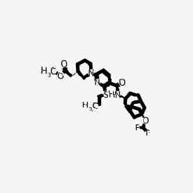 CCCSc1nc(N2CCC[C@@H](CC(=O)OC)C2)ccc1C(=O)N[C@H]1CCC2CC3C[C@@](OC(F)F)(C2)CC31